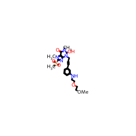 COCCOCCNc1cccc(C#CCN2c3nc(S(C)(=O)=O)n(C)c3C(=O)N(C)C2O)c1